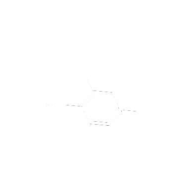 CN1C=CC(C(=O)O)=C(O)C1